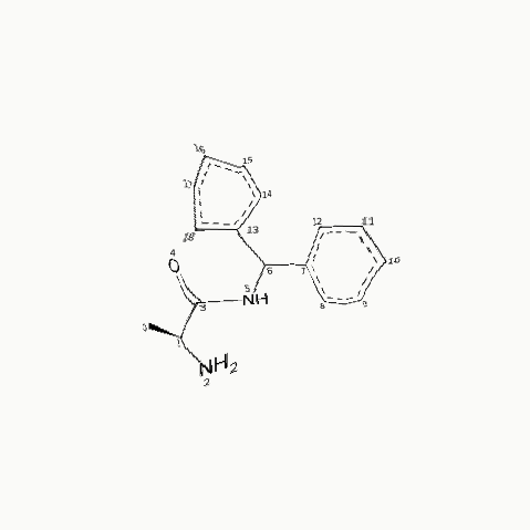 C[C@H](N)C(=O)NC(c1ccccc1)c1ccccc1